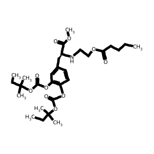 CCCCC(=O)OCCN[C@@H](Cc1ccc(OC(=O)OC(C)(C)CC)c(OC(=O)OC(C)(C)CC)c1)C(=O)OC